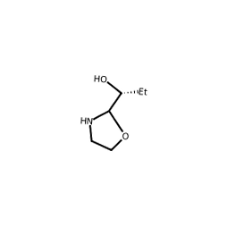 CC[C@@H](O)C1NCCO1